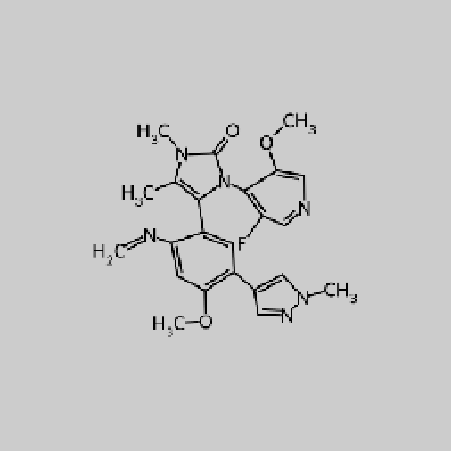 C=Nc1cc(OC)c(-c2cnn(C)c2)cc1-c1c(C)n(C)c(=O)n1-c1c(F)cncc1OC